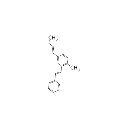 C=CC=Cc1ccc(C)c(C=Cc2ccccc2)c1